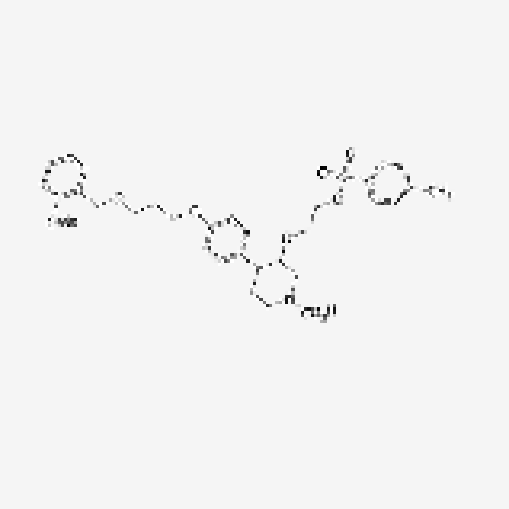 COc1ccccc1COCCCOc1ccc(C2CCN(C(=O)O)CC2OCCOS(=O)(=O)c2ccc(C)cc2)cc1